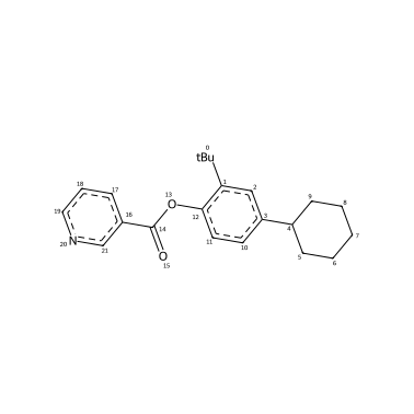 CC(C)(C)c1cc(C2CCCCC2)ccc1OC(=O)c1cccnc1